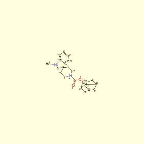 CC(=O)N1CC2(CCN(C(=O)OC3C4CC5CC(C4)CC3C5)CC2)c2ccccc21